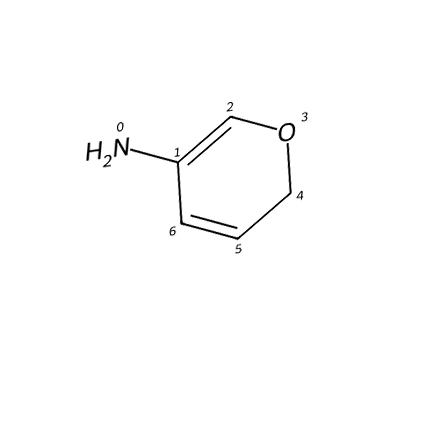 NC1=COCC=C1